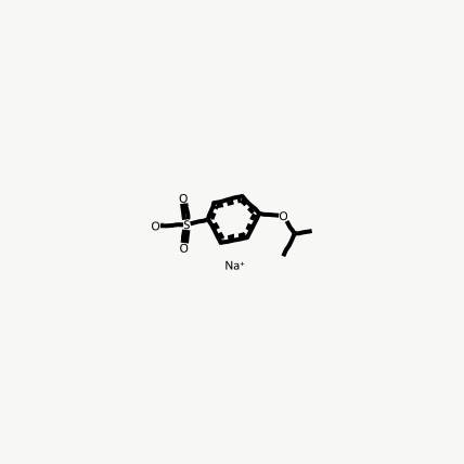 CC(C)Oc1ccc(S(=O)(=O)[O-])cc1.[Na+]